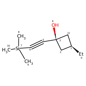 CC[C@H]1C[C@](O)(C#C[Si](C)(C)C)C1